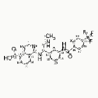 CNCC(Nc1ncnc2c(C(=O)O)cccc12)c1cccc(NC(=O)c2ccc(C(F)(F)F)cc2)c1